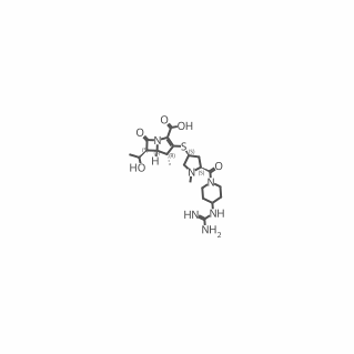 CC(O)[C@H]1C(=O)N2C(C(=O)O)=C(S[C@H]3C[C@@H](C(=O)N4CCC(NC(=N)N)CC4)N(C)C3)[C@H](C)[C@H]12